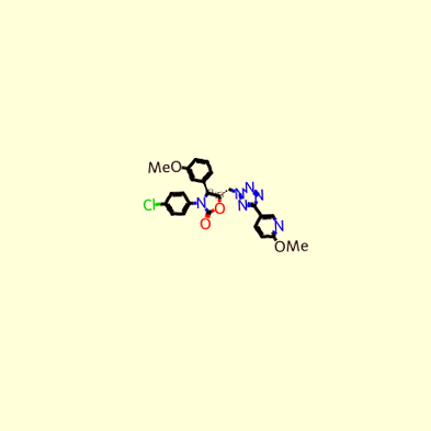 COc1cccc([C@H]2[C@H](Cn3nnc(-c4ccc(OC)nc4)n3)OC(=O)N2c2ccc(Cl)cc2)c1